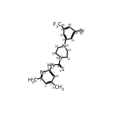 Cc1cc(C)nc(NC(=S)N2CCN(c3cc(Br)cc(C(F)(F)F)c3)CC2)c1